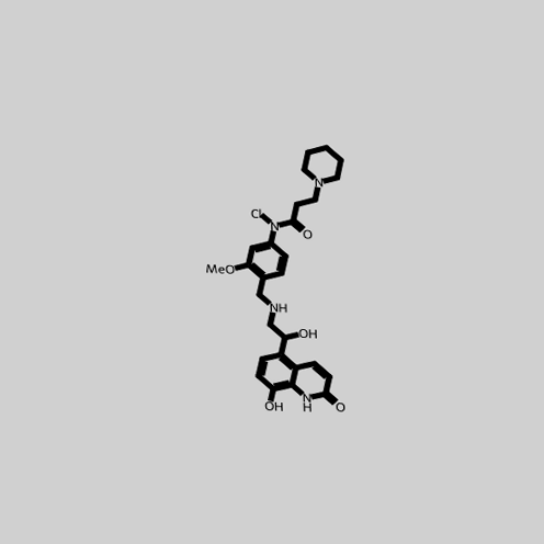 COc1cc(N(Cl)C(=O)CCN2CCCCC2)ccc1CNCC(O)c1ccc(O)c2[nH]c(=O)ccc12